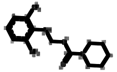 Nc1cccc(C(F)(F)F)c1NCOC(=O)N1CCCCC1